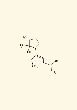 CCC(=CCC(C)O)C1CCC(C)C1(C)C